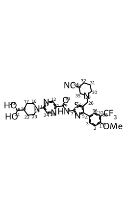 COc1ccc(-c2nc(NC(=O)c3cnc(N4CCC(C(O)O)CC4)cn3)sc2CN2CCCC(C#N)C2)cc1C(F)(F)F